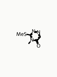 CSc1nncc(=O)n1C